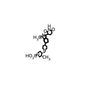 C[C@H]1CN(C(=O)O)CC[C@H]1CN1CCC(c2ccc3c(C4CCC(=O)NC4=O)nn(C)c3c2)CC1